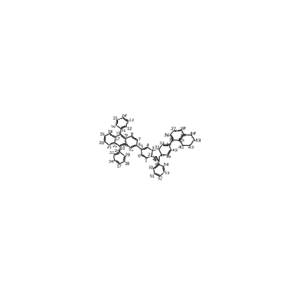 C1=CC2C(C=C1c1ccc3c(-c4ccccc4)c4ccccc4c(-c4ccccc4)c3c1)C1C=C(c3cccc4c3CCCC4)C=CC1N2c1ccccc1